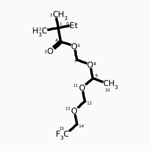 CCC(C)(C)C(=O)OCOC(C)OCOCC(F)(F)F